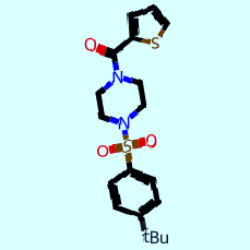 CC(C)(C)c1ccc(S(=O)(=O)N2CCN(C(=O)c3cccs3)CC2)cc1